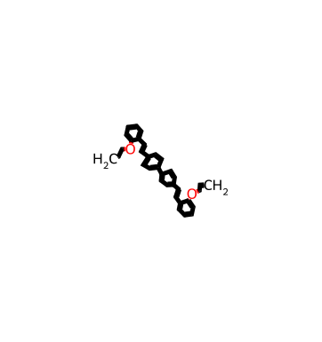 C=CCOc1ccccc1C=Cc1ccc(-c2ccc(C=Cc3ccccc3OCC=C)cc2)cc1